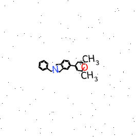 CC1C=C(c2ccc3c(c2)CN(Cc2ccccc2)C3)C[C@H](C)O1